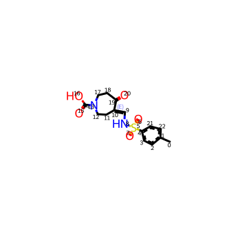 Cc1ccc(S(=O)(=O)N/C=C2\CCN(C(=O)O)CCC2=O)cc1